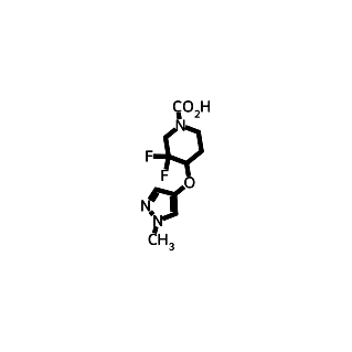 Cn1cc(OC2CCN(C(=O)O)CC2(F)F)cn1